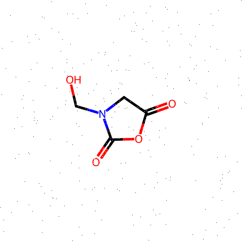 O=C1CN(CO)C(=O)O1